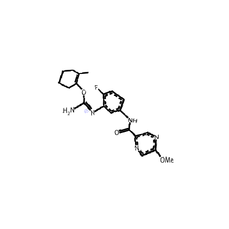 COc1cnc(C(=O)Nc2ccc(F)c(/N=C(/N)OC3=C(C)CCCC3)c2)cn1